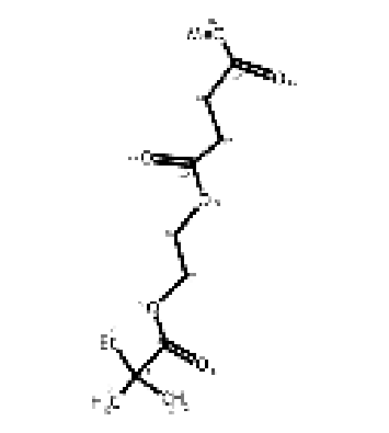 CCC(C)(C)C(=O)OCCOC(=O)CCC(=O)OC